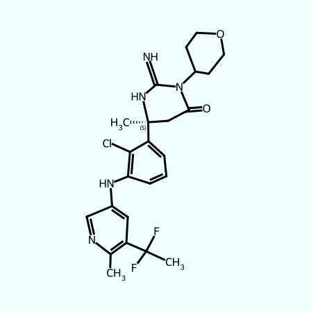 Cc1ncc(Nc2cccc([C@]3(C)CC(=O)N(C4CCOCC4)C(=N)N3)c2Cl)cc1C(C)(F)F